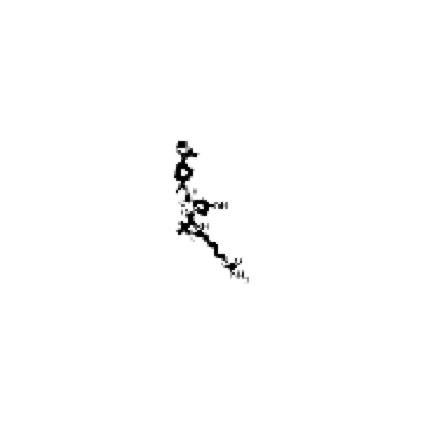 Cc1ncsc1-c1ccc([C@H](C)NC(=O)[C@@H]2C[C@@H](O)CN2C(=O)C(NC(=O)CCCCCOC(N)=O)C(C)(C)C)cc1